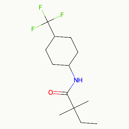 CCC(C)(C)C(=O)NC1CCC(C(F)(F)F)CC1